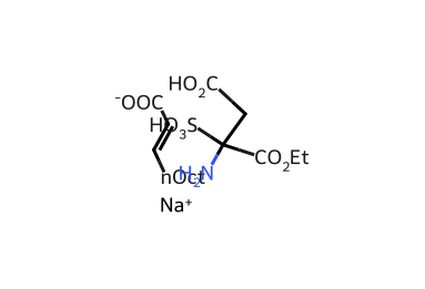 CCCCCCCCC=CC(=O)[O-].CCOC(=O)C(N)(CC(=O)O)S(=O)(=O)O.[Na+]